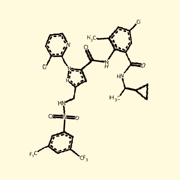 Cc1cc(Cl)cc(C(=O)NC(C)C2CC2)c1NC(=O)c1cc(CNS(=O)(=O)c2cc(C(F)(F)F)cc(C(F)(F)F)c2)nn1-c1ncccc1Cl